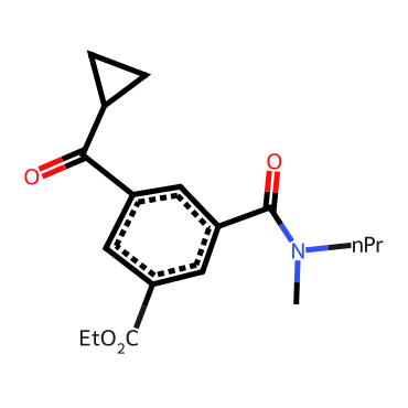 CCCN(C)C(=O)c1cc(C(=O)OCC)cc(C(=O)C2CC2)c1